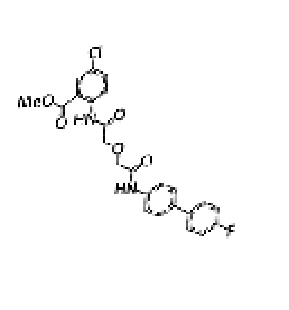 COC(=O)c1cc(Cl)ccc1NC(=O)COCC(=O)Nc1ccc(-c2ccc(F)cc2)cc1